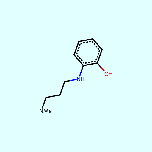 CNCCCNc1ccccc1O